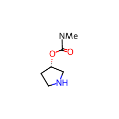 CNC(=O)O[C@H]1CCNC1